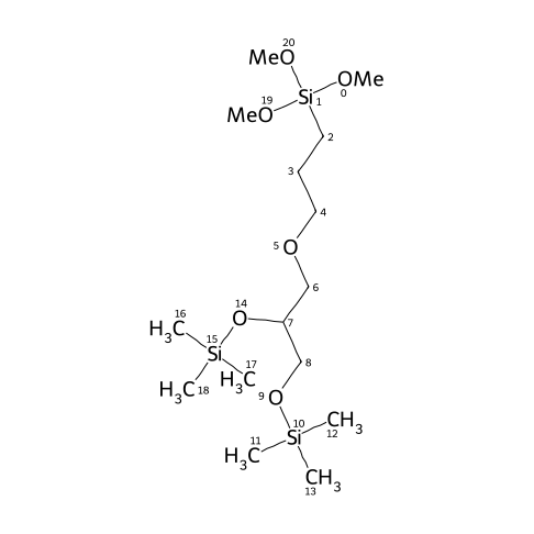 CO[Si](CCCOCC(CO[Si](C)(C)C)O[Si](C)(C)C)(OC)OC